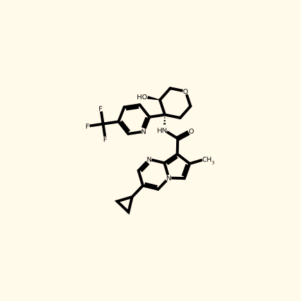 Cc1cn2cc(C3CC3)cnc2c1C(=O)N[C@@]1(c2ccc(C(F)(F)F)cn2)CCOC[C@@H]1O